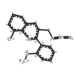 [N-]=[N+]=NCc1cc2cccc(Cl)c2nc1-c1ccccc1OC(F)(F)F